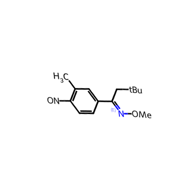 CO/N=C(\CC(C)(C)C)c1ccc(N=O)c(C)c1